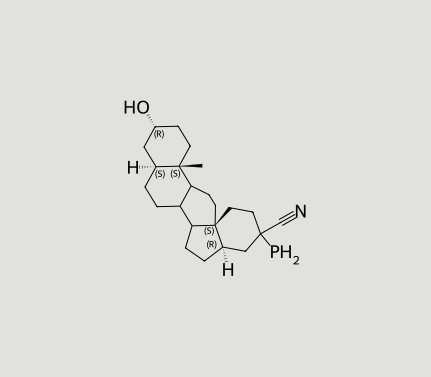 C[C@]12CC[C@@H](O)C[C@@H]1CCC1C3CC[C@@H]4CC(P)(C#N)CC[C@]34CCC12